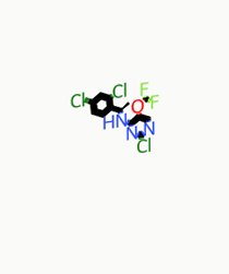 C[C@@H](Nc1nc(Cl)ncc1OC(F)F)c1ccc(Cl)cc1Cl